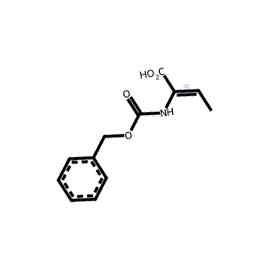 C/C=C(\NC(=O)OCc1ccccc1)C(=O)O